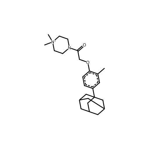 Cc1cc(C23CC4CC(CC(C4)C2)C3)ccc1OCC(=O)N1CC[N+](C)(C)CC1